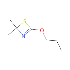 CCCOC1=NC(C)(C)S1